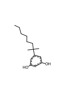 CCCCCCC(C)(C)c1cc(O)[c]c(O)c1